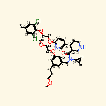 COCCCc1cc(CN(C(=O)C2CNCC[C@@H]2c2ccc(OCCOc3c(Cl)cc(C)cc3Cl)nc2)C2CC2)cc(OCCOC)c1